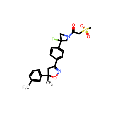 CS(=O)(=O)CC(=O)N1CC(F)(c2ccc(C3=NOC(c4cccc(C(F)(F)F)c4)(C(F)(F)F)C3)cc2)C1